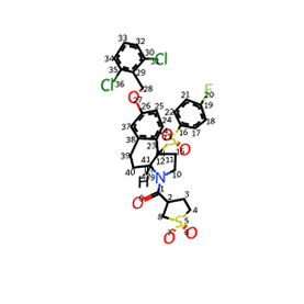 O=C(C1CCS(=O)(=O)C1)N1CC[C@@]2(S(=O)(=O)c3ccc(F)cc3)c3ccc(OCc4c(Cl)cccc4Cl)cc3CC[C@@H]12